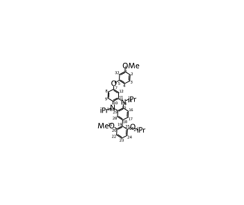 COc1cccc(Oc2ccc3c(c2)N(C(C)C)c2ccc(-c4c(OC)cccc4OC(C)C)cc2N3C(C)C)c1